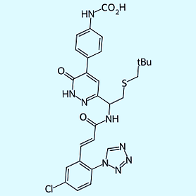 CC(C)(C)CSCC(NC(=O)C=Cc1cc(Cl)ccc1-n1cnnn1)c1cc(-c2ccc(NC(=O)O)cc2)c(=O)[nH]n1